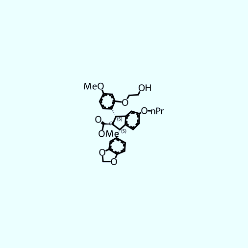 CCCOc1ccc2c(c1)[C@@H](c1ccc(OC)cc1OCCO)[C@H](C(=O)OC)[C@H]2c1ccc2c(c1)OCO2